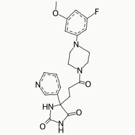 COc1cc(F)cc(N2CCN(C(=O)CCC3(c4cccnc4)NC(=O)NC3=O)CC2)c1